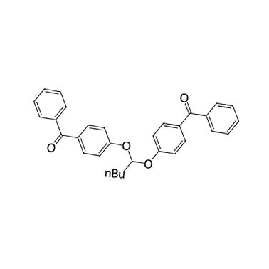 CCCCC(Oc1ccc(C(=O)c2ccccc2)cc1)Oc1ccc(C(=O)c2ccccc2)cc1